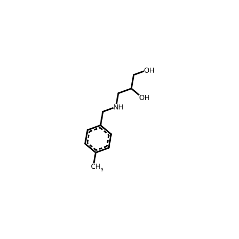 Cc1ccc(CNCC(O)CO)cc1